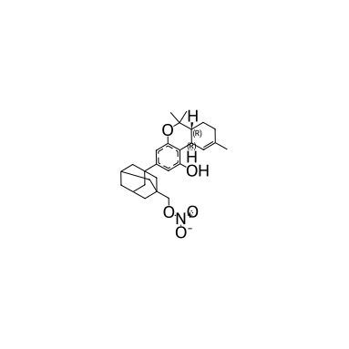 CC1=C[C@H]2c3c(O)cc(C45CC6CC(CC(CO[N+](=O)[O-])(C6)C4)C5)cc3OC(C)(C)[C@@H]2CC1